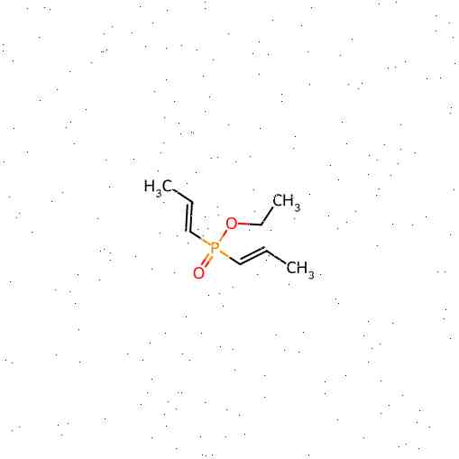 CC=CP(=O)(C=CC)OCC